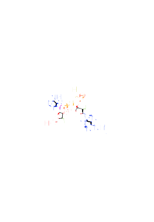 Nc1ncnc2c1ncn2[C@@H]1O[C@H](COP(=O)(S)OC2C(F)[C@@H](CO)O[C@H]2n2cnc3c(N)ncnc32)C(OC[PH](=O)S)C1F